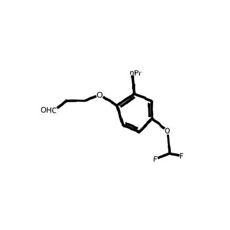 CCCc1cc(OC(F)F)ccc1OCCC=O